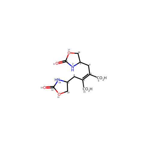 O=C1NC(CC(C(=O)O)=C(CC2COC(=O)N2)C(=O)O)CO1